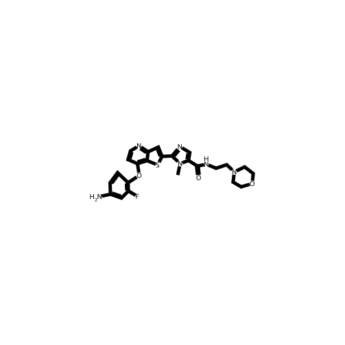 Cn1c(C(=O)NCCN2CCOCC2)cnc1-c1cc2nccc(Oc3ccc(N)cc3F)c2s1